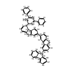 C1=CC(C2N=C(c3ccccc3)N=C(c3ccccc3)N2)C2C(=C1)Sc1cc(-c3ccc4sc5ccc(-n6c7ccccc7c7ccccc76)cc5c4c3)ccc12